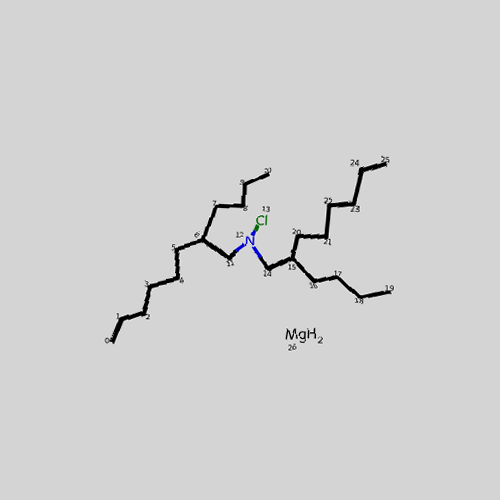 CCCCCCC(CCCC)CN(Cl)CC(CCCC)CCCCCC.[MgH2]